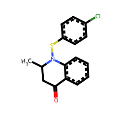 CC1CC(=O)c2ccccc2N1Sc1ccc(Cl)cc1